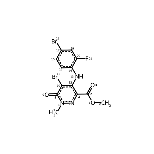 COC(=O)c1nn(C)c(=O)c(Br)c1Nc1ccc(Br)cc1F